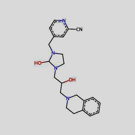 N#Cc1cc(CN2CCN(CC(O)CN3CCc4ccccc4C3)C2O)ccn1